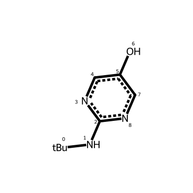 CC(C)(C)Nc1ncc(O)cn1